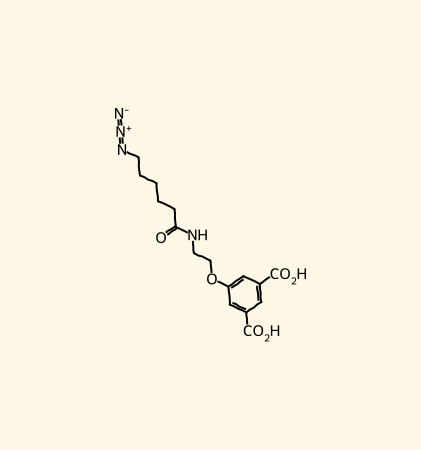 [N-]=[N+]=NCCCCCC(=O)NCCOc1cc(C(=O)O)cc(C(=O)O)c1